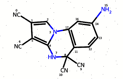 N#Cc1cn2c(c1C#N)NC(C#N)(C#N)c1ccc(N)cc1-2